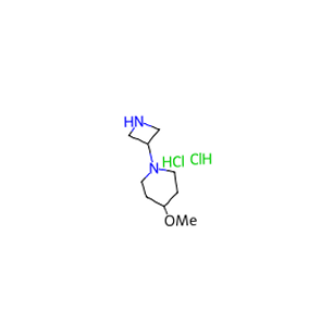 COC1CCN(C2CNC2)CC1.Cl.Cl